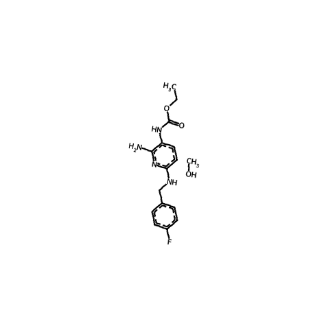 CCOC(=O)Nc1ccc(NCc2ccc(F)cc2)nc1N.CO